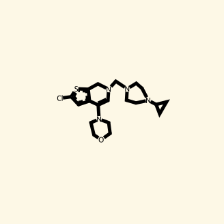 Clc1cc2c(s1)CN(CN1CCN(C3CC3)CC1)C=C2N1CCOCC1